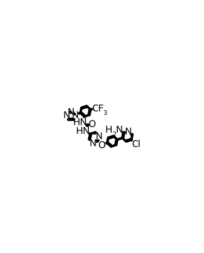 Nc1ncc(Cl)cc1-c1ccc(Oc2ncc(NC(=O)Nc3cc(C(F)(F)F)ccc3-n3ccnn3)cn2)cc1